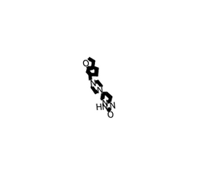 O=c1nc2ccc(N3CCN(Cc4ccc5c(c4)OCC5)CC3)cn2[nH]1